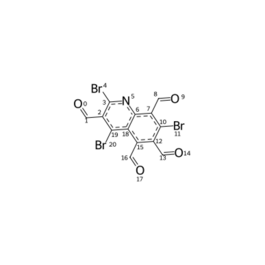 O=Cc1c(Br)nc2c(C=O)c(Br)c(C=O)c(C=O)c2c1Br